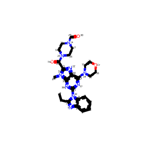 CCc1nc2ccccc2n1-c1nc(N2CCOCC2)c2nc(C(=O)N3CCN(C=O)CC3)n(C)c2n1